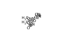 COCCC(OC)c1c(NC(=O)Nc2cnc(-n3nccn3)c(Cl)c2)cnc2cc(Cl)nn12